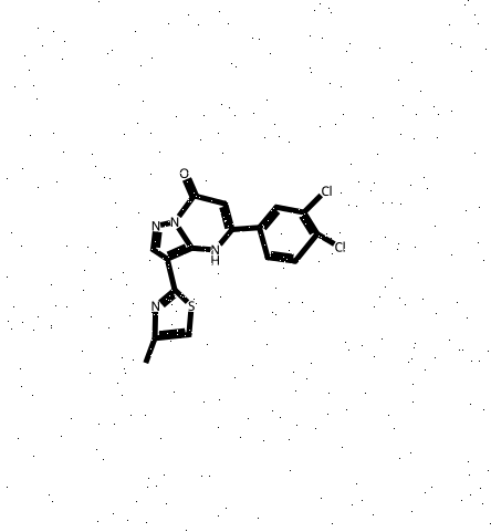 Cc1csc(-c2cnn3c(=O)cc(-c4ccc(Cl)c(Cl)c4)[nH]c23)n1